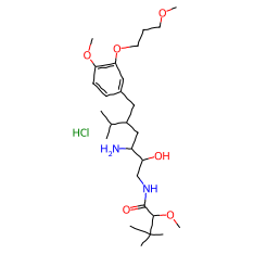 COCCCOc1cc(CC(CC(N)C(O)CNC(=O)C(OC)C(C)(C)C)C(C)C)ccc1OC.Cl